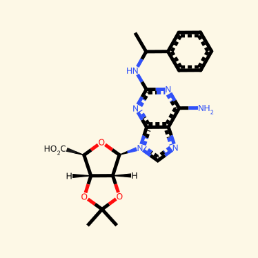 CC(Nc1nc(N)c2ncn([C@@H]3O[C@H](C(=O)O)[C@H]4OC(C)(C)O[C@H]43)c2n1)c1ccccc1